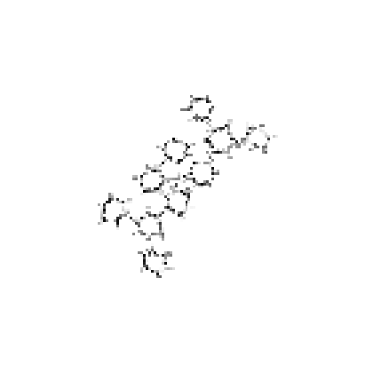 c1ccc(-c2nc(-c3ccc4c(c3)C3(c5ccccc5-c5ccccc53)c3cc(-c5nc(-c6ccccn6)nc(-c6ccccn6)n5)ccc3-4)nc(-c3ccccn3)n2)nc1